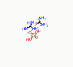 N=C(N)N.NC(N)=S.O=S(=O)(O)O